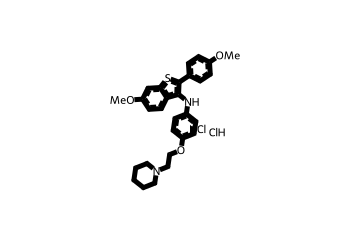 COc1ccc(-c2sc3cc(OC)ccc3c2Nc2ccc(OCCN3CCCCC3)cc2)cc1.Cl.Cl